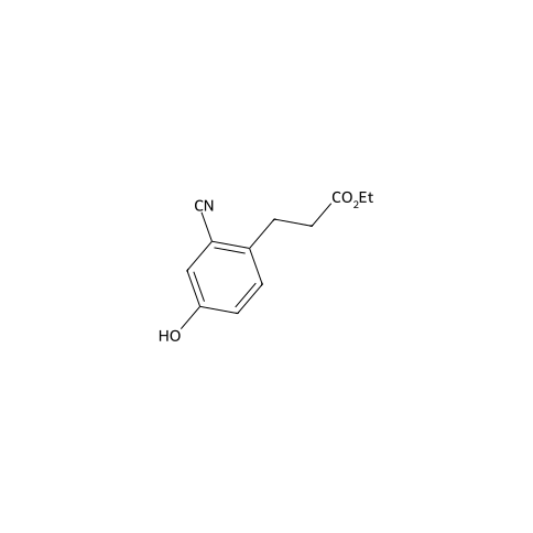 CCOC(=O)CCc1ccc(O)cc1C#N